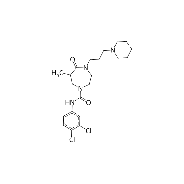 CC1CN(C(=O)Nc2ccc(Cl)c(Cl)c2)CCN(CCCN2CCCCC2)C1=O